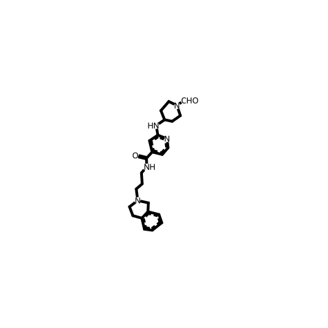 O=CN1CCC(Nc2cc(C(=O)NCCCN3CCc4ccccc4C3)ccn2)CC1